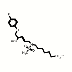 CCOC(=O)CCCCCCN(CC=CC(COc1ccc(F)cc1)OC(C)=O)S(C)(=O)=O